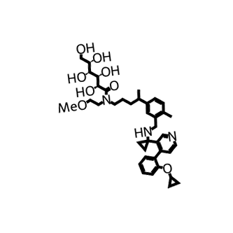 COCCN(CCCC(C)c1ccc(C)c(CNC2(c3cnccc3-c3ccccc3OC3CC3)CC2)c1)C(=O)[C@@H](O)[C@@H](O)[C@H](O)[C@@H](O)CO